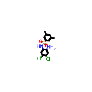 Cc1cc(C)cc(S(=O)(=O)Nc2cc(Cl)c(Cl)cc2N)c1